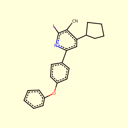 N#Cc1c(C2CCCC2)cc(-c2ccc(Oc3ccccc3)cc2)nc1I